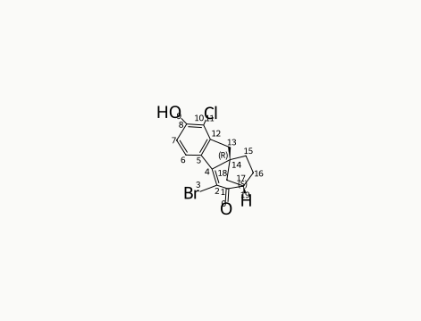 O=C1C(Br)=C2c3ccc(O)c(Cl)c3C[C@]23CC[C@H]1C3